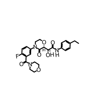 CCc1ccc(NC(=O)[C@H](O)[C@H]2OCCN(c3ccc(F)c(C(=O)N4CCOCC4)c3)C2=O)cc1